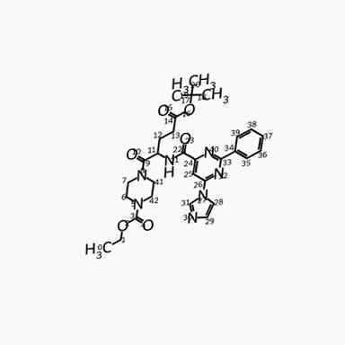 CCOC(=O)N1CCN(C(=O)C(CCC(=O)OC(C)(C)C)NC(=O)c2cc(-n3ccnc3)nc(-c3ccccc3)n2)CC1